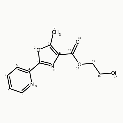 Cc1oc(-c2ccccn2)nc1C(=O)OCCO